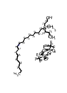 CCCCCCCC/C=C\CCCCCCCC[N+](C)(CCO)CCO.O=S(=O)([N-]S(=O)(=O)C(F)(F)F)C(F)(F)F